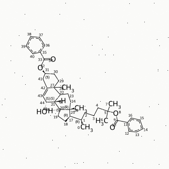 C[C@H](CCCC(C)(C)OC(=O)c1ccccc1)[C@H]1CC[C@H]2[C@H]3C(CC[C@]12C)C1(C)CC[C@H](OC(=O)c2ccccc2)CC1=C[C@H]3O